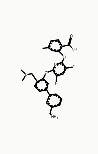 Cc1ccc(C(=O)O)c(Oc2nc(Oc3cc(-c4cccc(CN)c4)ccc3CN(C)C)c(F)cc2F)c1